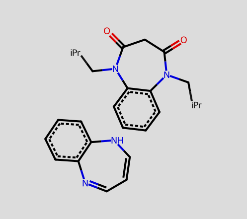 C1=CNc2ccccc2N=C1.CC(C)CN1C(=O)CC(=O)N(CC(C)C)c2ccccc21